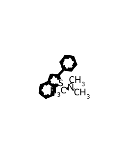 CN(C)C.c1ccc(-c2cc3ccccc3s2)cc1